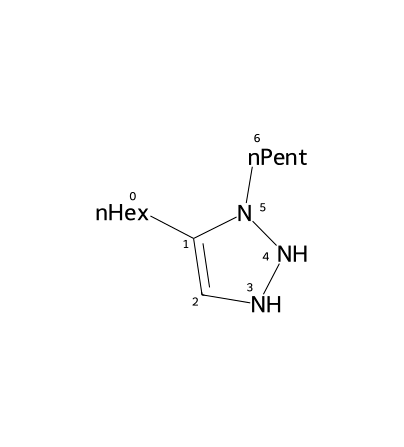 CCCCCCC1=CNNN1CCCCC